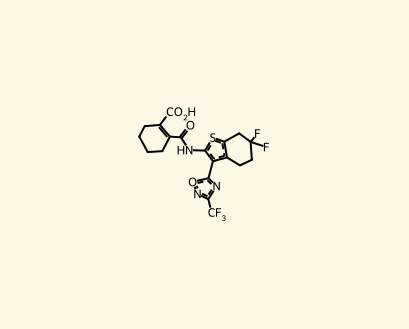 O=C(O)C1=C(C(=O)Nc2sc3c(c2-c2nc(C(F)(F)F)no2)CCC(F)(F)C3)CCCC1